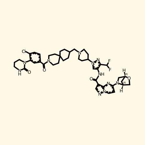 O=C(Nc1cn(C2CCN(CC3CCC4(CC3)CCN(C(=O)c3ccc(Cl)c(N5CCCNC5=O)c3)CC4)CC2)nc1C(F)F)c1cnn2ccc(N3C[C@H]4C[C@@H]3CO4)nc12